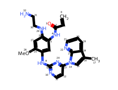 C=CC(=O)Nc1cc(Nc2nccc(-n3cc(C)c4cccnc43)n2)c(OC)cc1NCCN